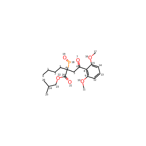 CCCCC(CC(=O)c1c(OC)cccc1OC)(P=O)C(=O)OCC(C)C